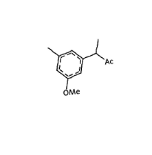 COc1cc(C)cc(C(C)C(C)=O)c1